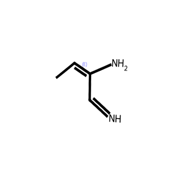 C/C=C(/N)C=N